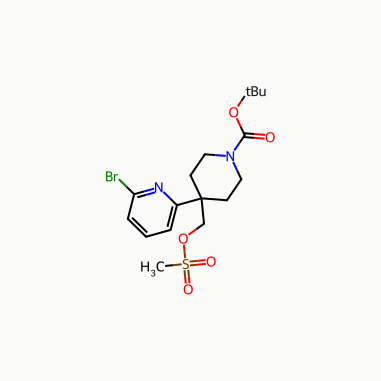 CC(C)(C)OC(=O)N1CCC(COS(C)(=O)=O)(c2cccc(Br)n2)CC1